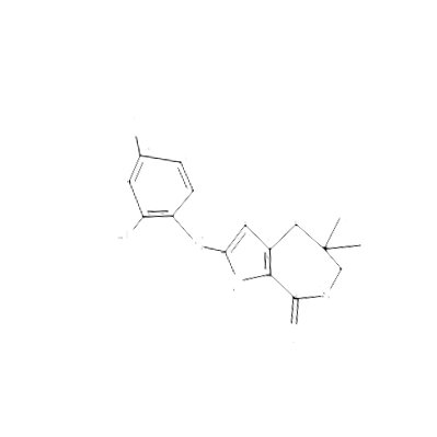 CC1(C)CNC(=O)c2sc(Nc3ccc(I)cc3F)cc2C1